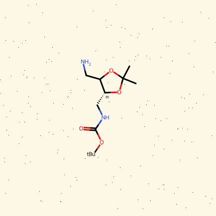 CC(C)(C)OC(=O)NC[C@H]1OC(C)(C)OC1CN